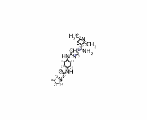 C=C(/N=C\C=C(/N)c1sc(C)nc1C)Nc1ccc(NC(=O)CN2CCCC2)cc1